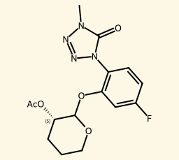 CC(=O)O[C@H]1CCCOC1Oc1cc(F)ccc1-n1nnn(C)c1=O